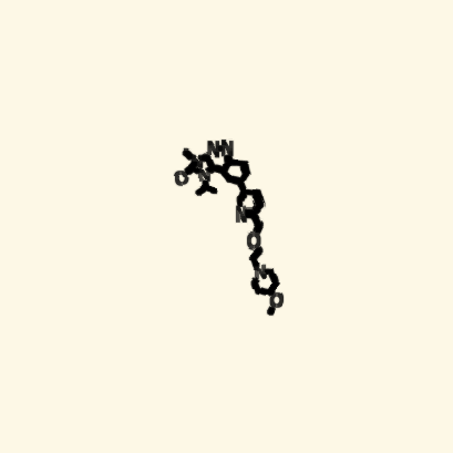 COC1CCN(CCOCc2ccc(-c3ccc4nnc5c(c4c3)n(C(C)C)c(=O)n5C)cn2)CC1